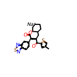 Cc1csc(C(=O)C(CC2CCCCC2)=C(C(=O)[O-])c2ccc3nsnc3c2)c1.[Na+]